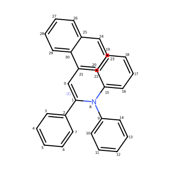 C(=C(\c1ccccc1)N(c1ccccc1)c1ccccc1)/c1cccc2ccccc12